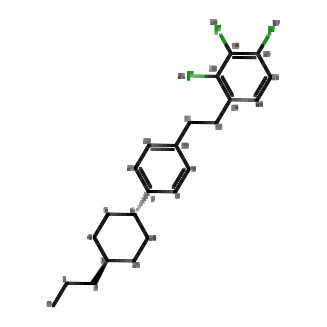 CCC[C@H]1CC[C@H](c2ccc(CCc3ccc(F)c(F)c3F)cc2)CC1